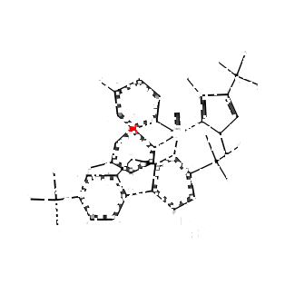 Cl.Cl.[CH2]=[Zr]([C]1=C(C)C(C(C)(C)C)=CC1C)([c]1ccc(C)cc1)([c]1ccc(C)cc1)[c]1c(C(C)(C)C)ccc2c1Cc1cc(C(C)(C)C)ccc1-2